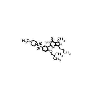 CCCc1nn(C)c2c(=S)[nH]c(-c3cc(S(=O)(=O)N4CCN(C)CC4)ccc3OCC(C)C)nc12